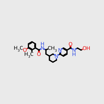 COc1cccc(C(=O)NC(C)CC2CCCN(c3ccc(C(=O)NCCO)cn3)C2)c1C